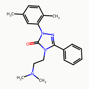 Cc1ccc(C)c(-n2nc(-c3ccccc3)n(CCN(C)C)c2=O)c1